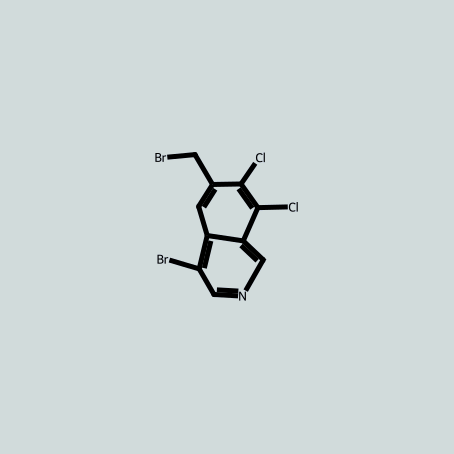 Clc1c(CBr)cc2c(Br)cncc2c1Cl